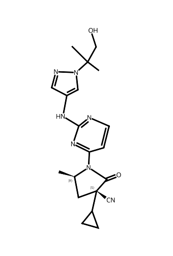 C[C@@H]1C[C@@](C#N)(C2CC2)C(=O)N1c1ccnc(Nc2cnn(C(C)(C)CO)c2)n1